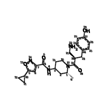 C[C@@H]1CC(NC(=O)c2cc(C3CC3)on2)CCN1C(=O)[C@@H](CN)Cc1ccc(O)cc1